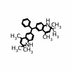 CC1=CC(C)(C)Nc2ccc(C(c3ccccc3)c3ccc4c(c3)C(C)=CC(C)(C)N4)cc21